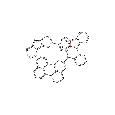 c1ccc(-c2cccc3cccc(-c4cccc(N(c5cccc(-c6ccc7sc8ccccc8c7c6)c5)c5ccccc5-n5c6ccccc6c6ccccc65)c4)c23)cc1